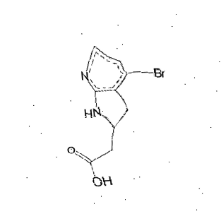 O=C(O)CC1Cc2c(Br)ccnc2N1